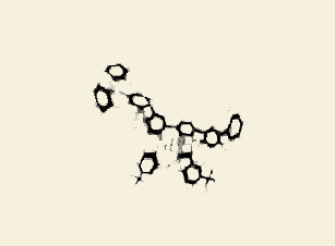 CC(C)(C)c1ccc(Nc2cc3oc4cc(N(c5ccccc5)c5ccccc5)ccc4c3cc2-c2ccc3c4cc5c(cc4n4c3c2Bc2oc3ccc(C(C)(C)C)cc3c2-4)oc2ccccc25)cc1